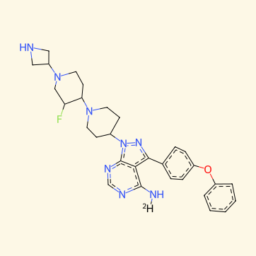 [2H]Nc1ncnc2c1c(-c1ccc(Oc3ccccc3)cc1)nn2C1CCN(C2CCN(C3CNC3)CC2F)CC1